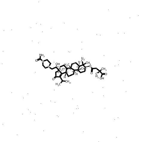 CC(C)C1=C2[C@H]3CC[C@@H]4[C@@]5(C)CC[C@H](OC(=O)CC(C)(C)C(=O)O)C(C)(C)[C@@H]5CC[C@@]4(C)[C@]3(C)CC[C@@]2([C@@H](O)CN2CCN(C(N)=O)CC2)CC1=O